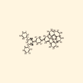 c1ccc(-c2cc(-c3ccccc3)nc(-c3ccc(-c4ccc5c(c4)-c4ccccc4C54c5cccc6ccc7cccc4c7c56)cc3)n2)cc1